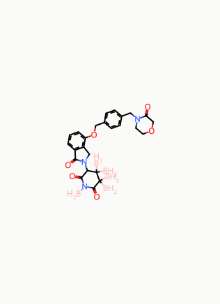 BN1C(=O)C(N2Cc3c(OCc4ccc(CN5CCOCC5=O)cc4)cccc3C2=O)C(B)(B)C(B)(B)C1=O